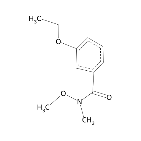 CCOc1cccc(C(=O)N(C)OC)c1